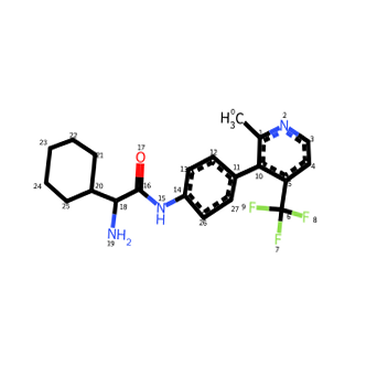 Cc1nccc(C(F)(F)F)c1-c1ccc(NC(=O)C(N)C2CCCCC2)cc1